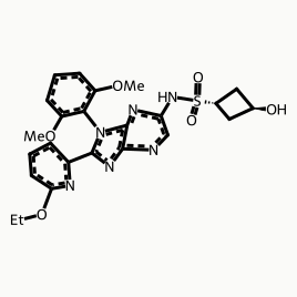 CCOc1cccc(-c2nc3ncc(NS(=O)(=O)[C@H]4C[C@H](O)C4)nc3n2-c2c(OC)cccc2OC)n1